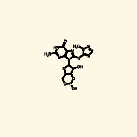 Cn1nnnc1Sc1nc2c(=O)[nH]c(N)nc2n1C1OC2COP(O)OC2C1O